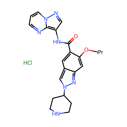 CC(C)Oc1cc2nn(C3CCNCC3)cc2cc1C(=O)Nc1cnn2cccnc12.Cl